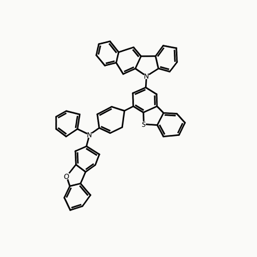 C1=CC(c2cc(-n3c4ccccc4c4cc5ccccc5cc43)cc3c2sc2ccccc23)CC=C1N(c1ccccc1)c1ccc2c(c1)oc1ccccc12